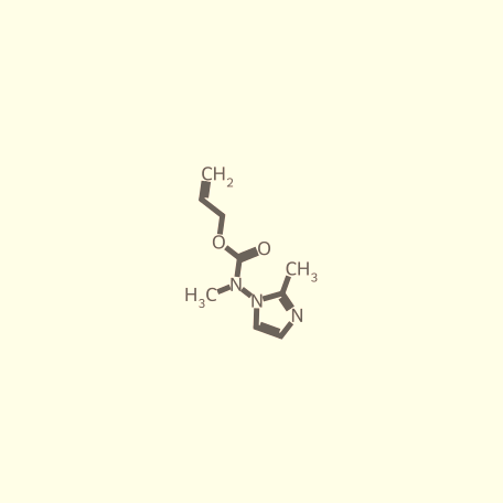 C=CCOC(=O)N(C)n1ccnc1C